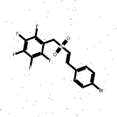 O=S(=O)(C=Cc1ccc(Br)cc1)Cc1c(F)c(F)c(F)c(F)c1F